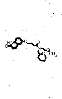 COCCN(CC1CCCCO1)C(=O)CCCOc1ccc2[nH]c(=O)c#cc2c1